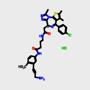 Cc1sc2c(c1C)C(c1ccc(Cl)cc1)=N[C@@H](CC(=O)NCCCC(=O)Nc1ccc(C(=O)O)c(C#CCN)c1)c1nnc(C)n1-2.Cl